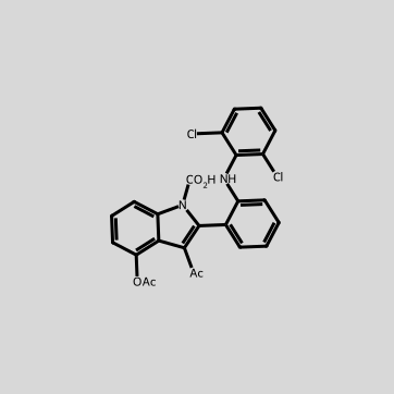 CC(=O)Oc1cccc2c1c(C(C)=O)c(-c1ccccc1Nc1c(Cl)cccc1Cl)n2C(=O)O